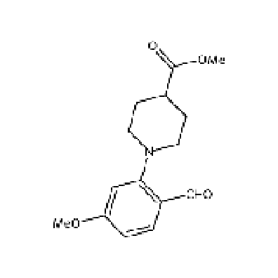 COC(=O)C1CCN(c2cc(OC)ccc2C=O)CC1